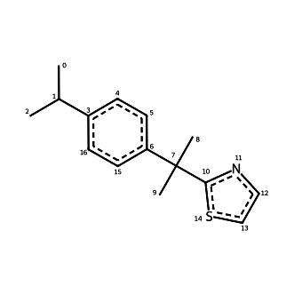 CC(C)c1ccc(C(C)(C)c2nccs2)cc1